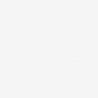 COc1ccc2nc(C(F)(F)CCCC[C@@H]3CCCC3C)c(O[C@H]3CN(C(=O)[C@@H](NC(=O)O)C(C)(C)C)C[C@@H]3C)nc2c1